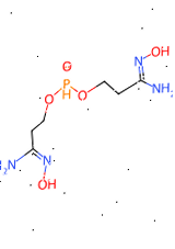 NC(CCO[PH](=O)OCCC(N)=NO)=NO